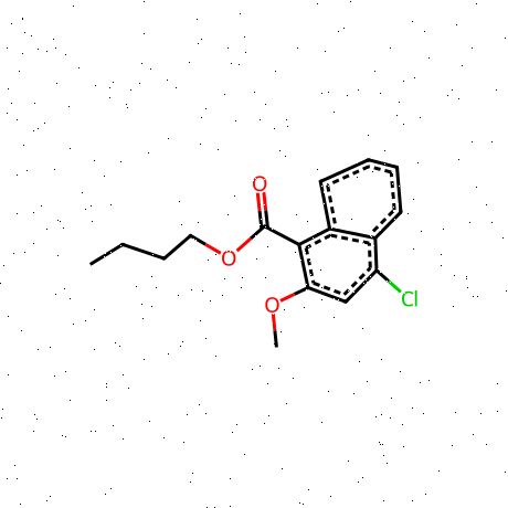 CCCCOC(=O)c1c(OC)cc(Cl)c2ccccc12